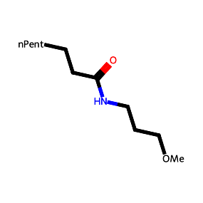 CCCCCCCC(=O)NCCCOC